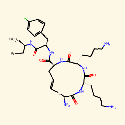 CC(C)C[C@H](NC(=O)[C@H](Cc1ccc(Cl)cc1)NC(=O)[C@@H]1C/C=C/C[C@H](N)C(=O)N[C@@H](CCCCN)C(=O)N[C@@H](CCCCN)C(=O)N1)C(=O)O